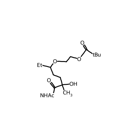 CCC(CCC(C)(O)C(=O)NC(C)=O)OCCOC(=O)C(C)(C)C